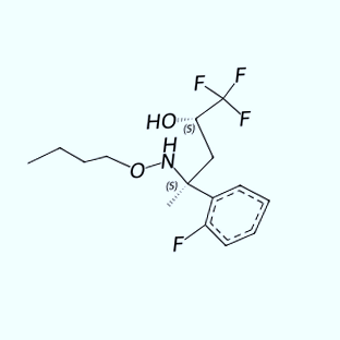 CCCCON[C@@](C)(C[C@H](O)C(F)(F)F)c1ccccc1F